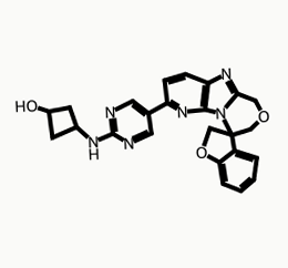 OC1CC(Nc2ncc(-c3ccc4nc5n(c4n3)C3(COC5)COc4ccccc43)cn2)C1